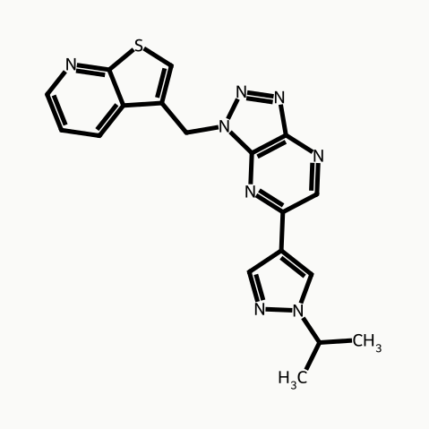 CC(C)n1cc(-c2cnc3nnn(Cc4csc5ncccc45)c3n2)cn1